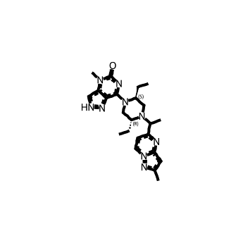 CC[C@H]1CN(C(C)c2ccn3nc(C)cc3n2)[C@H](CC)CN1c1nc(=O)n(C)c2c[nH]nc12